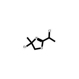 CCC1(C)COC(C(C)Cl)=N1